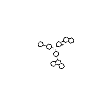 c1ccc(-c2ccc(N(c3ccc(-c4cc5ccccc5c5ccccc45)cc3)c3ccc4c(c3)sc3c5ccccc5ccc43)cc2)cc1